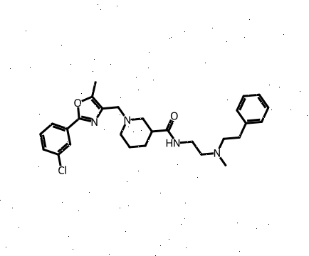 Cc1oc(-c2cccc(Cl)c2)nc1CN1CCCC(C(=O)NCCN(C)CCc2ccccc2)C1